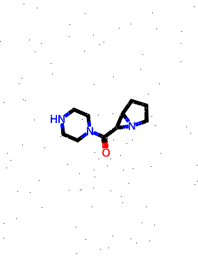 O=C(C1C2CCCN21)N1CCNCC1